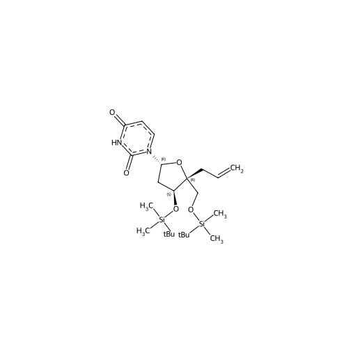 C=CC[C@]1(CO[Si](C)(C)C(C)(C)C)O[C@@H](n2ccc(=O)[nH]c2=O)C[C@@H]1O[Si](C)(C)C(C)(C)C